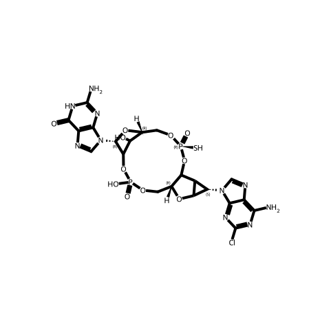 Nc1nc2c(ncn2[C@@H]2O[C@@H]3CO[P@@](=O)(S)OC4C5C(O[C@@H]4COP(=O)(O)OC2C3O)[C@H]5n2cnc3c(N)nc(Cl)nc32)c(=O)[nH]1